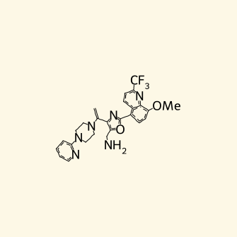 C=C(c1nc(-c2ccc(OC)c3nc(C(F)(F)F)ccc23)oc1CN)N1CCN(c2ccccn2)CC1